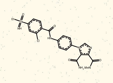 CCS(=N)(=O)c1ccc(C(=O)Nc2ccc(-n3cnc(C(=O)NC)c3C(N)=O)cc2)c(Cl)c1